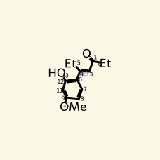 CCC(=O)/C=C(\CC)c1ccc(OC)cc1O